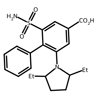 CCC1CCC(CC)N1c1cc(C(=O)O)cc(S(N)(=O)=O)c1-c1ccccc1